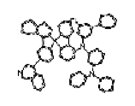 Clc1cc(-c2ccccc2)cc(N(c2cccc(N(c3ccccc3)c3ccccc3)c2)c2cccc3c2-c2ccccc2C32c3ccc(-c4cncc5ccccc45)cc3-c3c2ccc2ccccc32)c1